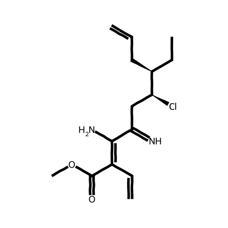 C=CC[C@@H](CC)[C@@H](Cl)CC(=N)/C(N)=C(\C=C)C(=O)OC